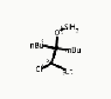 CCCCC(CCCC)(O[SiH3])C(Cl)CC